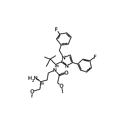 COCC(=O)N(CC[C@H](N)COC)[C@@H](c1nc(-c2cccc(F)c2)cn1Cc1cccc(F)c1)C(C)(C)C